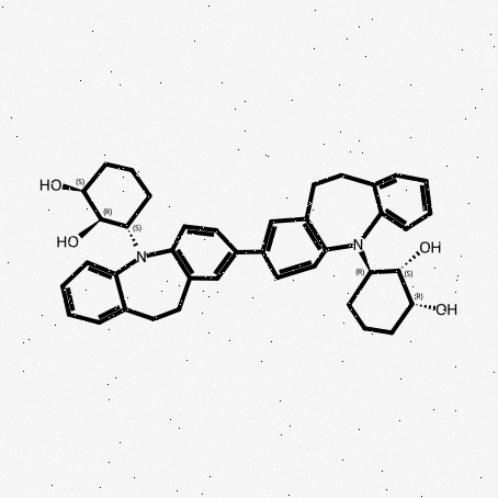 O[C@@H]1[C@H](O)CCC[C@H]1N1c2ccccc2CCc2cc(-c3ccc4c(c3)CCc3ccccc3N4[C@H]3CCC[C@H](O)[C@@H]3O)ccc21